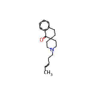 CC=CCCN1CCC2(CCc3ccccc3C2=O)CC1